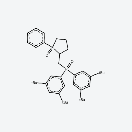 CC(C)(C)c1cc(C(C)(C)C)cc(P(=O)(CC2CCCP2(=O)c2ccccc2)c2cc(C(C)(C)C)cc(C(C)(C)C)c2)c1